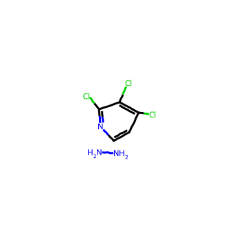 Clc1ccnc(Cl)c1Cl.NN